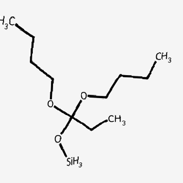 CCCCOC(CC)(O[SiH3])OCCCC